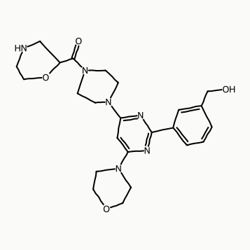 O=C(C1CNCCO1)N1CCN(c2cc(N3CCOCC3)nc(-c3cccc(CO)c3)n2)CC1